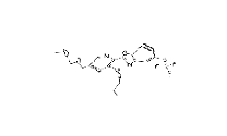 CCSc1cc(COCOC)cnc1-c1nc2cc(SC(F)(F)F)ccc2o1